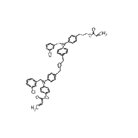 C=CC(=O)OCCCc1ccc(N(Cc2cccc(Cl)c2)c2ccc(COCc3ccc(N(Cc4cccc(Cl)c4)c4ccc(OC(=O)C=C)cc4)cc3)cc2)cc1